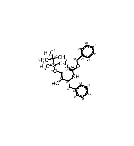 CC(C)(C)[Si](C)(C)OCC(O)[C@H](Cc1ccccc1)NC(=O)OCc1ccccc1